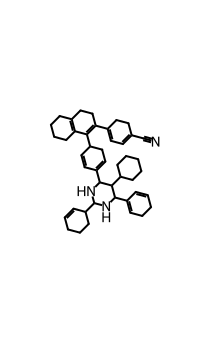 N#CC1=CC=C(C2=C(C3C=CC(C4NC(C5C=CCCC5)NC(C5=CCCC=C5)C4C4CCCCC4)=CC3)C3=C(CCCC3)CC2)CC1